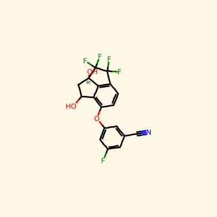 N#Cc1cc(F)cc(Oc2ccc3c4c2C(O)C[C@]4(O)C(F)(F)C3(F)F)c1